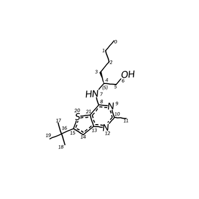 CCCC[C@@H](CO)Nc1nc(C)nc2cc(C(C)(C)C)sc12